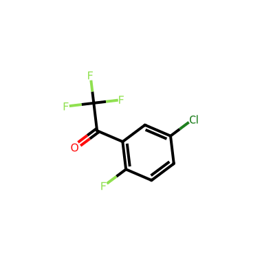 O=C(c1cc(Cl)ccc1F)C(F)(F)F